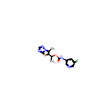 Cc1c(C(C)OC(=O)Nc2cncc(F)c2)sc2ncnn12